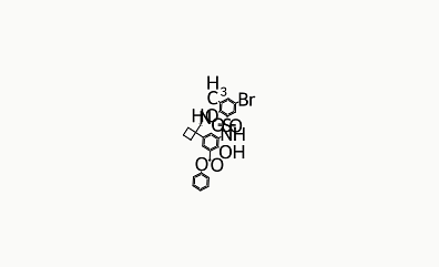 Cc1cc(Br)cc(S(=O)(=O)Nc2cc(C3(C#N)CCC3)cc(C(=O)Oc3ccccc3)c2O)c1O